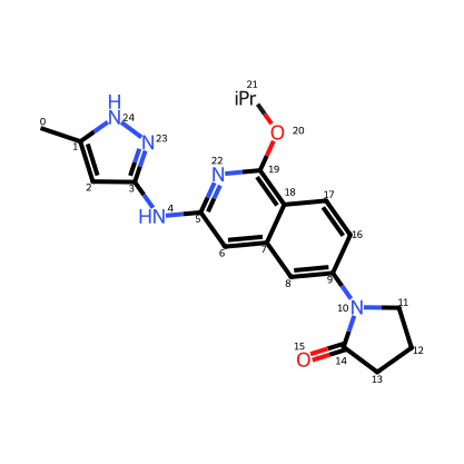 Cc1cc(Nc2cc3cc(N4CCCC4=O)ccc3c(OC(C)C)n2)n[nH]1